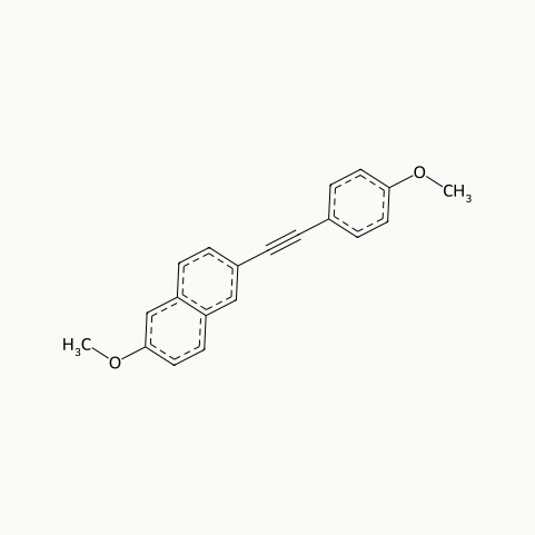 COc1ccc(C#Cc2ccc3cc(OC)ccc3c2)cc1